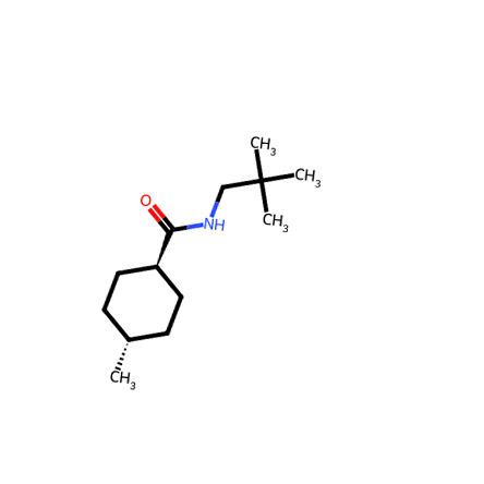 CC(C)(C)CNC(=O)[C@H]1CC[C@H](C)CC1